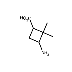 CC1(C)C(N)CC1C(=O)O